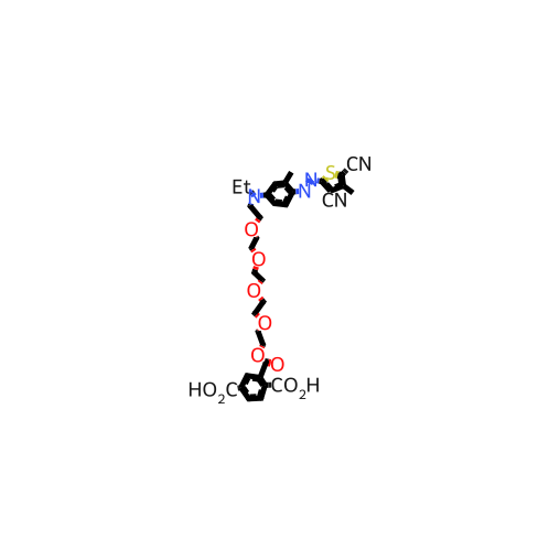 CCN(CCOCCOCCOCCOCCOC(=O)c1cc(C(=O)O)ccc1C(=O)O)c1ccc(/N=N/c2sc(C#N)c(C)c2C#N)c(C)c1